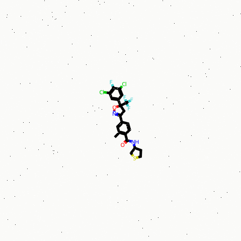 Cc1cc(C2=NOC(c3cc(Cl)c(F)c(Cl)c3)(C(F)(F)F)C2)ccc1C(=O)NC1CCSC1